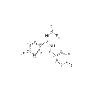 Cc1ccc(CN/C(=N\C(C)F)c2ccc(F)nc2)cc1